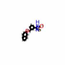 O=c1[nH]c(-c2cccc(COc3ccc4ccccc4c3)c2)ns1